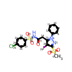 CS(=O)(=O)c1nn(-c2ccccc2)c(CC(=O)NS(=O)(=O)c2ccc(Cl)cc2)c1I